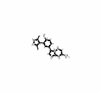 Cc1noc(C)c1-c1cc(-c2cnc3nc(C(F)(F)F)cnn23)ccc1F